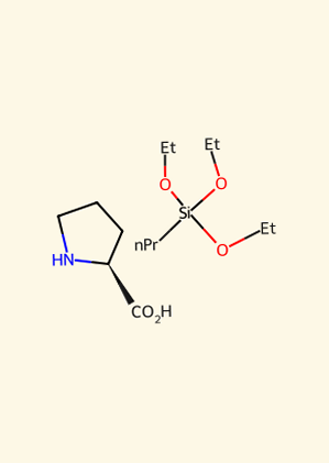 CCC[Si](OCC)(OCC)OCC.O=C(O)[C@@H]1CCCN1